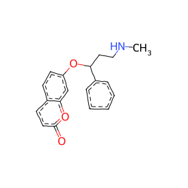 CNCCC(Oc1ccc2ccc(=O)oc2c1)c1ccccc1